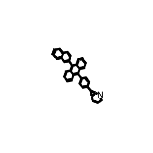 C1=CC2C(N=C1)C2c1ccc(-c2c3ccccc3c(-c3ccc4ccccc4c3)c3ccccc23)cc1